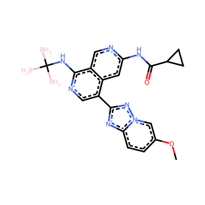 BC(B)(B)Nc1ncc(-c2nc3ccc(OC)cn3n2)c2cc(NC(=O)C3CC3)ncc12